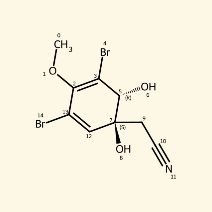 COC1=C(Br)[C@H](O)[C@](O)(CC#N)C=C1Br